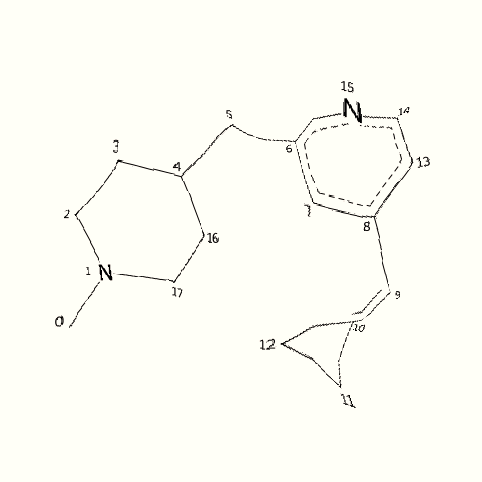 CN1CCC(Cc2cc(C=C3CC3)ccn2)CC1